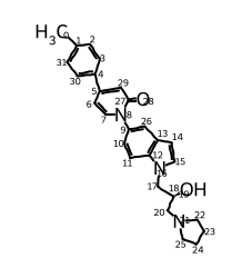 Cc1ccc(-c2ccn(-c3ccc4c(ccn4C[C@@H](O)CN4CCCC4)c3)c(=O)c2)cc1